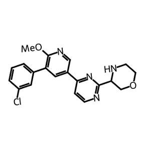 COc1ncc(-c2ccnc(C3COCCN3)n2)cc1-c1cccc(Cl)c1